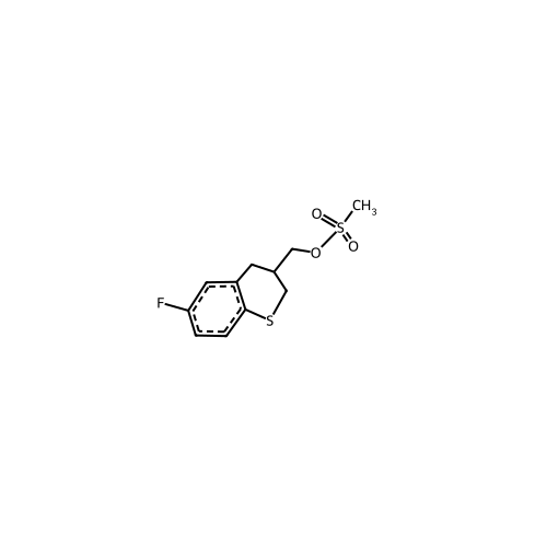 CS(=O)(=O)OCC1CSc2ccc(F)cc2C1